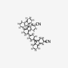 N#Cc1cccc([Si](c2ccccc2)(c2ccccc2)c2cccc(-c3ccc(-n4c5ccccc5c5cc(C#N)ccc54)cc3)c2)c1